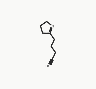 C#CCCCC1=NCCC1